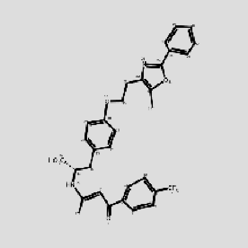 C/C(=C\C(=O)c1ccc(C(F)(F)F)cc1)N[C@@H](Cc1ccc(OCCc2nc(-c3ccccc3)oc2C)cc1)C(=O)O